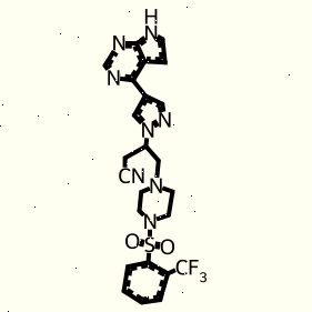 N#CCC(CN1CCN(S(=O)(=O)c2ccccc2C(F)(F)F)CC1)n1cc(-c2ncnc3[nH]ccc23)cn1